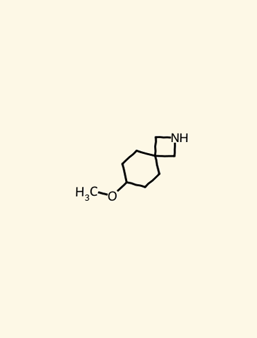 COC1CCC2(CC1)CNC2